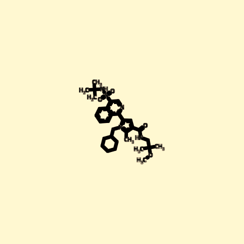 COC(C)(C)CNC(=O)c1cc(-c2ncc(S(=O)(=O)NC(C)(C)C)c3ccccc23)n(CC2CCCCC2)c1C